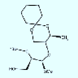 CCCCO[C@H](CO)[C@@H](OC1COC2(CCCCC2)O[C@H]1C)SC